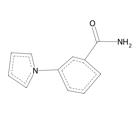 NC(=O)c1cccc(-n2cccc2)c1